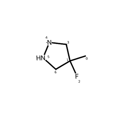 CC1(F)C[N]NC1